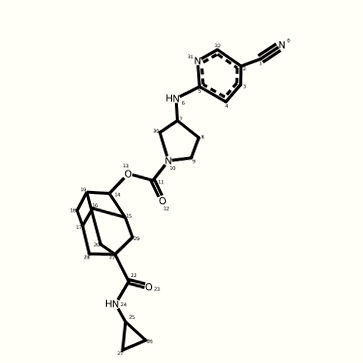 N#Cc1ccc(NC2CCN(C(=O)OC3C4CC5CC3CC(C(=O)NC3CC3)(C5)C4)C2)nc1